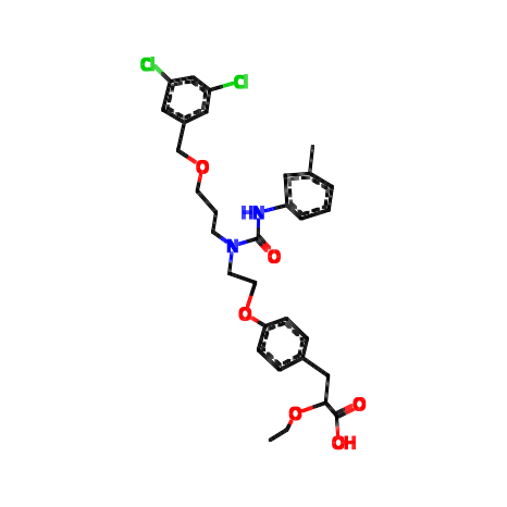 CCOC(Cc1ccc(OCCN(CCCOCc2cc(Cl)cc(Cl)c2)C(=O)Nc2cccc(C)c2)cc1)C(=O)O